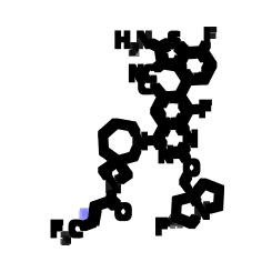 N#Cc1c(N)sc2c(F)ccc(-c3c(Cl)cc4c(N5CCCCC6(CN(C(=O)/C=C/C(F)(F)F)C6)C5)nc(OC[C@@]56CCCN5C[C@H](F)C6)nc4c3F)c12